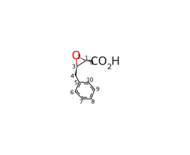 O=C(O)[C@@H]1O[C@@H]1Cc1ccccc1